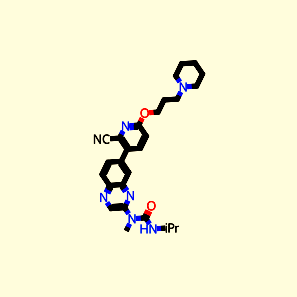 CC(C)NC(=O)N(C)c1cnc2ccc(-c3ccc(OCCCN4CCCCC4)nc3C#N)cc2n1